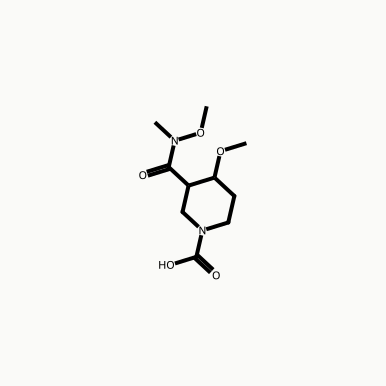 COC1CCN(C(=O)O)CC1C(=O)N(C)OC